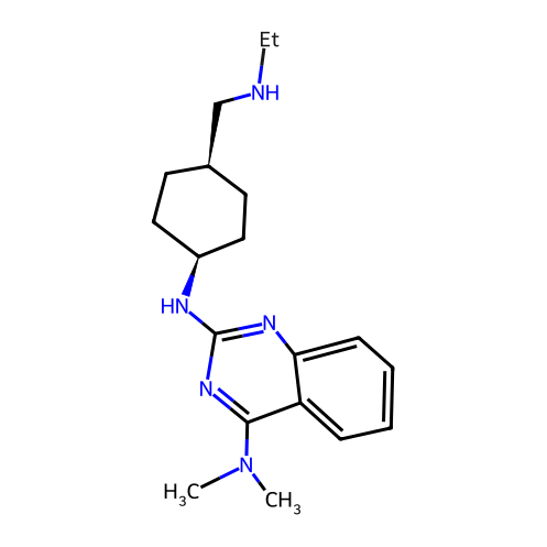 CCNC[C@H]1CC[C@@H](Nc2nc(N(C)C)c3ccccc3n2)CC1